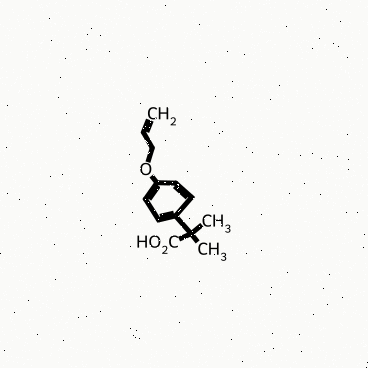 C=CCOc1ccc(C(C)(C)C(=O)O)cc1